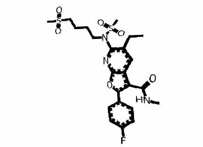 CCc1cc2c(C(=O)NC)c(-c3ccc(F)cc3)oc2nc1N(CCCCS(C)(=O)=O)S(C)(=O)=O